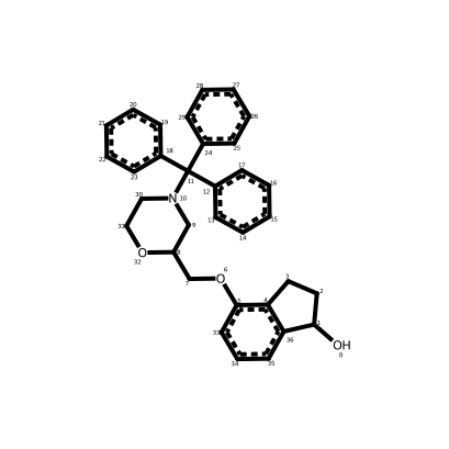 OC1CCc2c(OCC3CN(C(c4ccccc4)(c4ccccc4)c4ccccc4)CCO3)cccc21